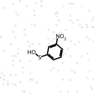 O=[N+]([O-])c1cccc(SO)c1